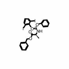 C[C@H](NP(Oc1ccccc1)Oc1c(I)cccc1I)C(=O)OCc1ccccc1